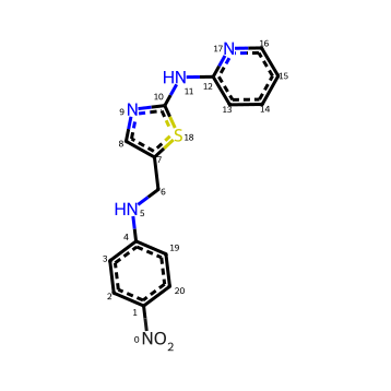 O=[N+]([O-])c1ccc(NCc2cnc(Nc3ccccn3)s2)cc1